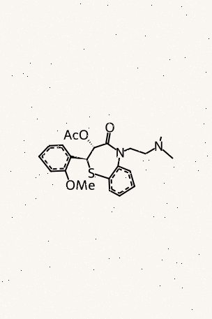 COc1ccccc1[C@@H]1Sc2ccccc2N(CCN(C)C)C(=O)[C@H]1OC(C)=O